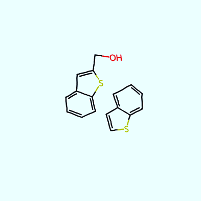 OCc1cc2ccccc2s1.c1ccc2sccc2c1